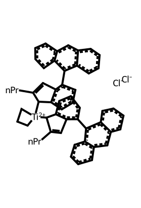 CCCC1=Cc2c(-c3c4ccccc4cc4ccccc34)cccc2[CH]1[Ti+2]1([CH]2C(CCC)=Cc3c(-c4c5ccccc5cc5ccccc45)cccc32)[CH2]C[CH2]1.[Cl-].[Cl-]